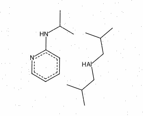 CC(C)Nc1ccccn1.CC(C)[CH2][AlH][CH2]C(C)C